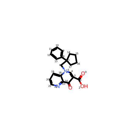 O=C(O)c1cn(CC2(c3ccccc3)CCCC2)c2cccnc2c1=O